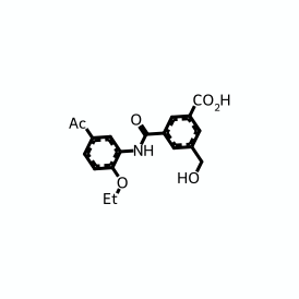 CCOc1ccc(C(C)=O)cc1NC(=O)c1cc(CO)cc(C(=O)O)c1